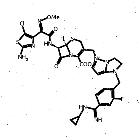 CO/N=C(\C(=O)N[C@@H]1C(=O)N2C(C(=O)[O-])=C(C[n+]3ccc4n3CCN4Cc3ccc(C(=N)NC4CC4)cc3F)CS[C@H]12)c1nc(N)sc1Cl